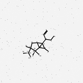 C=CC(CC)C12C(C)C13C2CC(C)([C@H](C)I)[C@@]3(C)I